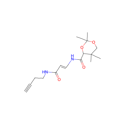 C#CCCNC(=O)C=CNC(=O)C1OC(C)(C)OCC1(C)C